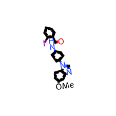 COc1ccc2c(c1)ncn2-c1ccc(NC(=O)c2ccccc2I)cc1